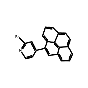 Brc1cc(-c2cc3cccc4ccc5cccc2c5c43)ccn1